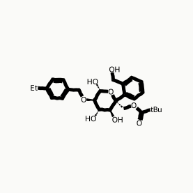 CCc1ccc(CO[C@@H]2[C@@H](O)[C@H](O)[C@](COC(=O)C(C)(C)C)(c3ccccc3CO)O[C@H]2O)cc1